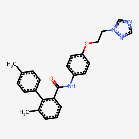 Cc1ccc(-c2c(C)cccc2C(=O)Nc2ccc(OCCn3cncn3)cc2)cc1